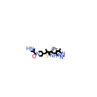 Cc1c(C2CCN(C(=O)C3CNC3)CC2)sc2[nH]c(-c3cc(C)c4ncnn4c3)c(C(C)C)c12